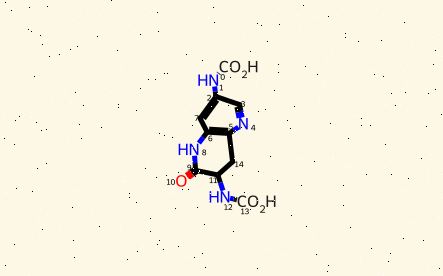 O=C(O)Nc1cnc2c(c1)NC(=O)C(NC(=O)O)C2